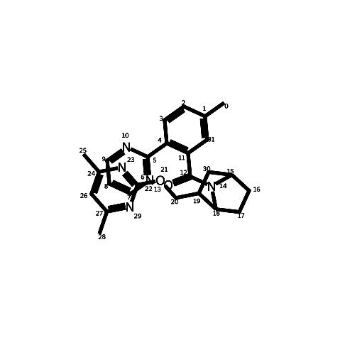 Cc1ccc(-c2ncccn2)c(C(=O)N2C3CCC2C(COc2nc(C)cc(C)n2)C3)c1